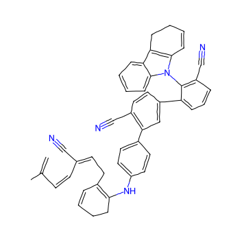 C=C(C)/C=C\C(C#N)=C/CC1=C(Nc2ccc(-c3cc(-c4cccc(C#N)c4-n4c5c(c6ccccc64)CCC=C5)ccc3C#N)cc2)CCC=C1